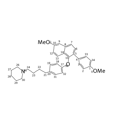 COc1ccc(-c2ccc3cc(OC)ccc3c2Oc2ccc(CCCCN3CCCCC3)cc2)cc1